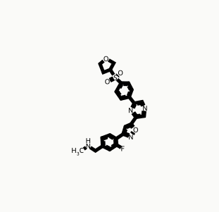 CNCc1ccc(-c2cc(-c3cncc(-c4ccc(S(=O)(=O)C5CCOC5)cc4)n3)on2)c(F)c1